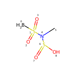 BS(=O)(=O)N(C)S(=O)O